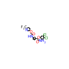 NC(=O)C(Oc1ccc(Cl)c(Cl)c1)C12CCC(NC(=O)COc3ccc(C(F)(F)F)nc3)(C1)C2